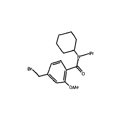 COc1cc(CBr)ccc1C(=O)N(C(C)C)C1CCCCC1